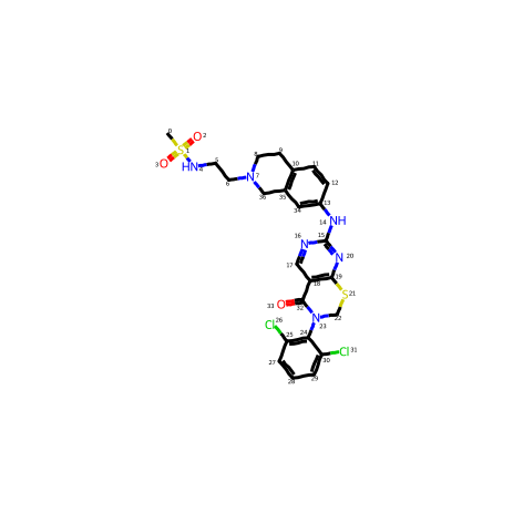 CS(=O)(=O)NCCN1CCc2ccc(Nc3ncc4c(n3)SCN(c3c(Cl)cccc3Cl)C4=O)cc2C1